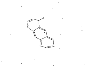 CC1C=CCc2cc3ccccc3cc21